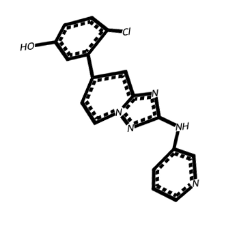 Oc1ccc(Cl)c(-c2ccn3nc(Nc4cccnc4)nc3c2)c1